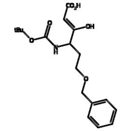 CC(C)(C)OC(=O)NC(CCOCc1ccccc1)/C(O)=C/C(=O)O